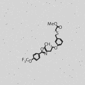 COC(=O)CSCc1cccc(OCCc2nc(-c3ccc(OC(F)(F)F)cc3)oc2C)c1